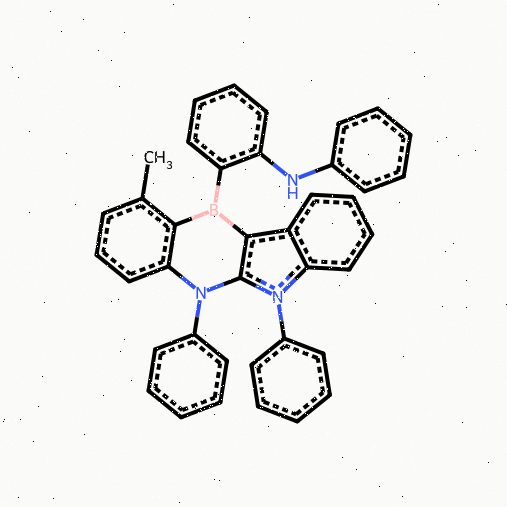 Cc1cccc2c1B(c1ccccc1Nc1ccccc1)c1c(n(-c3ccccc3)c3ccccc13)N2c1ccccc1